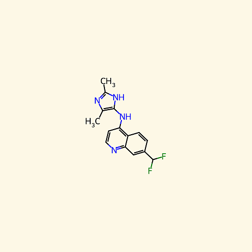 Cc1nc(C)c(Nc2ccnc3cc(C(F)F)ccc23)[nH]1